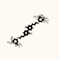 CCc1cc(CCCOC2CC(C)(C)NC(C)(C)C2)ccc1-c1ccc(CCCOC2CC(C)(C)NC(C)(C)C2)cc1F